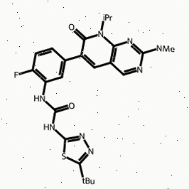 CNc1ncc2cc(-c3ccc(F)c(NC(=O)Nc4nnc(C(C)(C)C)s4)c3)c(=O)n(C(C)C)c2n1